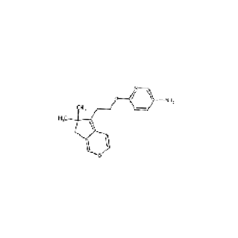 CC1(C)CC2=COC=CC2=C1CCOc1ccc(N)cn1